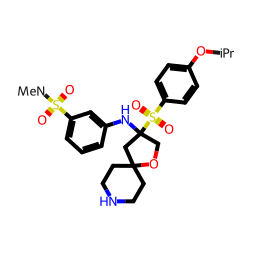 CNS(=O)(=O)c1cccc(NC2(S(=O)(=O)c3ccc(OC(C)C)cc3)COC3(CCNCC3)C2)c1